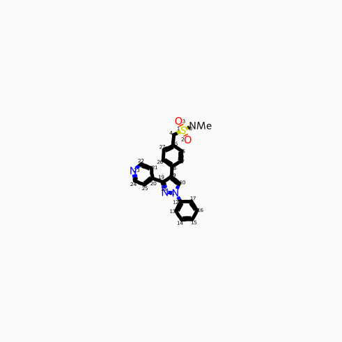 CNS(=O)(=O)Cc1ccc(-c2cn(-c3ccccc3)nc2-c2ccncc2)cc1